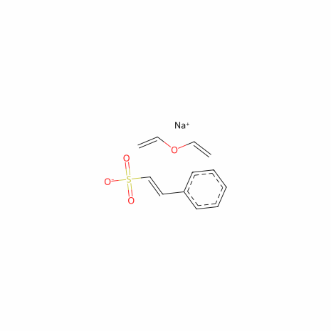 C=COC=C.O=S(=O)([O-])C=Cc1ccccc1.[Na+]